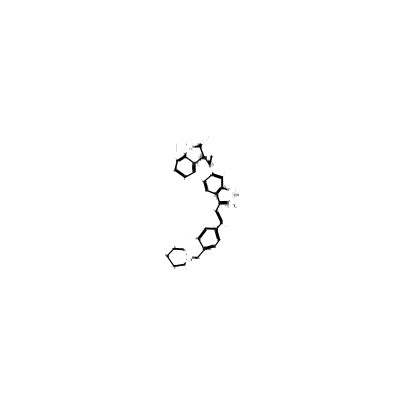 O=C1Nc2ccccc2[C@]12C[C@H]2c1ccc2c(C=Cc3ccc(CN4CCCCC4)cc3)n[nH]c2c1